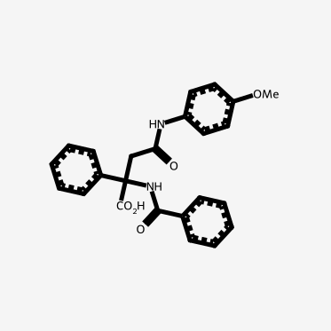 COc1ccc(NC(=O)CC(NC(=O)c2ccccc2)(C(=O)O)c2ccccc2)cc1